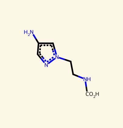 Nc1cnn(CCNC(=O)O)c1